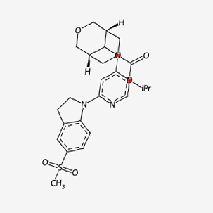 CC(C)OC(=O)N1C[C@H]2COC[C@@H](C1)C2Oc1cc(N2CCc3cc(S(C)(=O)=O)ccc32)ncn1